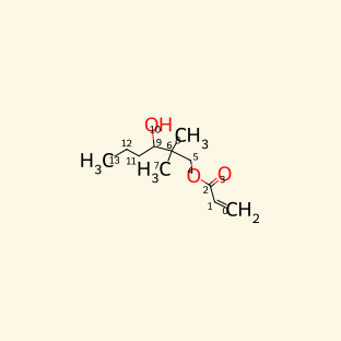 C=CC(=O)OCC(C)(C)C(O)CCC